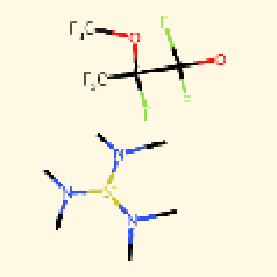 CN(C)[S+](N(C)C)N(C)C.[O-]C(F)(F)C(F)(OC(F)(F)F)C(F)(F)F